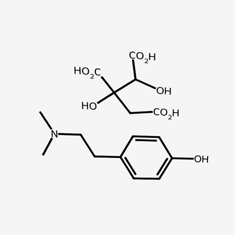 CN(C)CCc1ccc(O)cc1.O=C(O)CC(O)(C(=O)O)C(O)C(=O)O